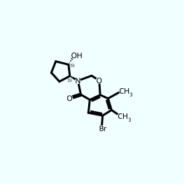 Cc1c(Br)cc2c(c1C)OCN([C@H]1CCC[C@@H]1O)C2=O